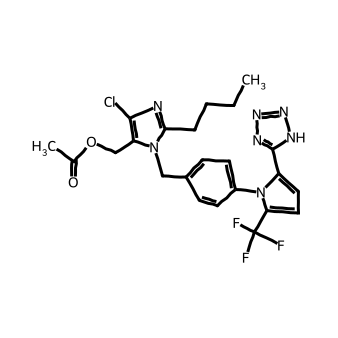 CCCCc1nc(Cl)c(COC(C)=O)n1Cc1ccc(-n2c(-c3nnn[nH]3)ccc2C(F)(F)F)cc1